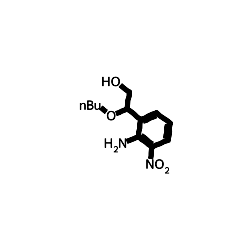 CCCCOC(CO)c1cccc([N+](=O)[O-])c1N